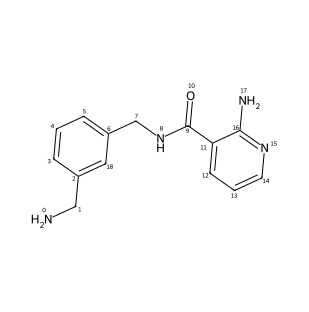 NCc1cccc(CNC(=O)c2cccnc2N)c1